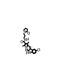 Cc1[nH]c(/C=C2\C(=O)Nc3ccc(Cl)cc32)c(C)c1C(=O)NCCCN1CCCC1=O